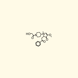 COC1=C[N+](C)(C2CCN(C(=O)CO)CC2)C(CC(=O)c2ccccc2)C1=O